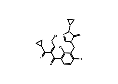 CCOC=C(C(=O)c1ccc(Cl)c(Cn2nnn(C3CC3)c2=O)c1Cl)C(=O)C1CC1